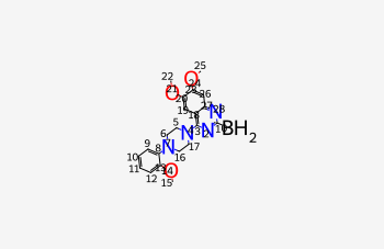 Bc1nc(N2CCN(c3ccccc3OC)CC2)c2cc(OC)c(OC)cc2n1